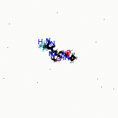 Nc1ncc(-c2cc3n(n2)CCO[C@@]32CCN(C(=O)NC3CCC3)C2)cc1C(F)(F)F